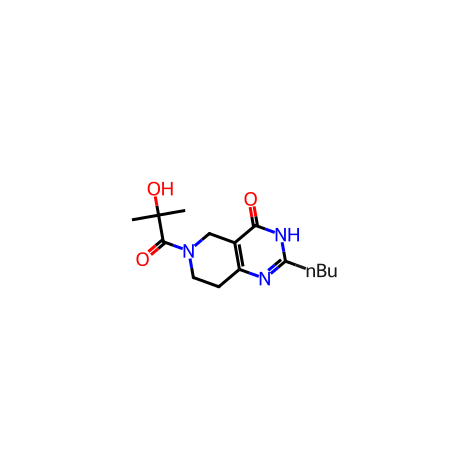 CCCCc1nc2c(c(=O)[nH]1)CN(C(=O)C(C)(C)O)CC2